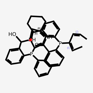 C/C=C\C(=C/C)P(c1ccccc1)c1ccccc1C(=O)N[C@@H]1CCCC[C@H]1NC(O)c1ccccc1P(c1ccccc1)c1ccccc1